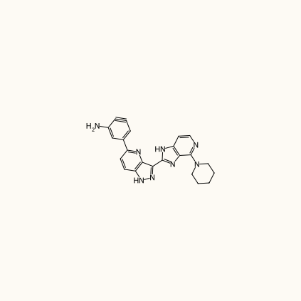 Nc1c#ccc(-c2ccc3[nH]nc(-c4nc5c(N6CCCCC6)nccc5[nH]4)c3n2)c1